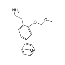 COCOc1ccccc1CCN.c1cc2ccc1CO2